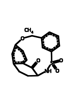 C.O=C1c2ccc3cc2CCC1NS(=O)(=O)c1cccc(c1)CO3